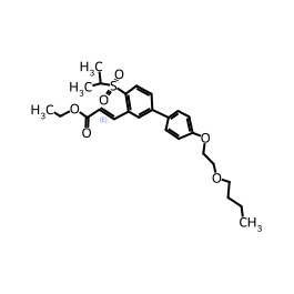 CCCCOCCOc1ccc(-c2ccc(S(=O)(=O)C(C)C)c(/C=C/C(=O)OCC)c2)cc1